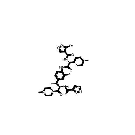 CCc1nocc1C(=O)N[C@H](C(=O)Nc1ccc([C@H](C)[C@@H](NC(=O)c2cnns2)C(=O)N2CCN(C)CC2)cc1F)[C@H]1CC[C@H](C)CC1